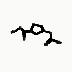 CNC(=O)O[C@@H]1CCN(C(=O)OC(C)(C)C)C1